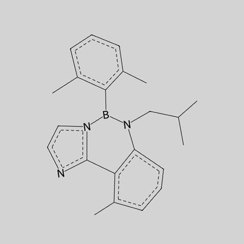 Cc1cccc(C)c1B1N(CC(C)C)c2cccc(C)c2-c2nccn21